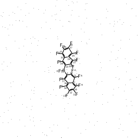 FB(c1c(F)c(F)c2c(F)c(F)c(F)c(F)c2c1F)c1c(F)c(F)c2c(F)c(F)c(F)c(F)c2c1F